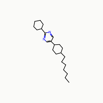 CCCCCCCC1CCC(c2cnc(C3CCCCC3)nc2)CC1